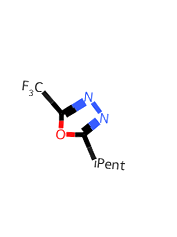 CCCC(C)c1nnc(C(F)(F)F)o1